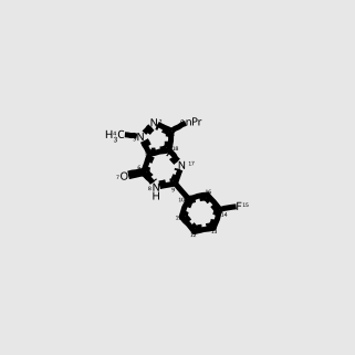 CCCc1nn(C)c2c(=O)[nH]c(-c3cccc(F)c3)nc12